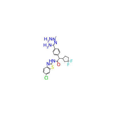 CN(N)/N=C(\N)c1ccc(C(C(=O)Nc2nc3ccc(Cl)cc3s2)C2CCC(F)(F)C2)cc1